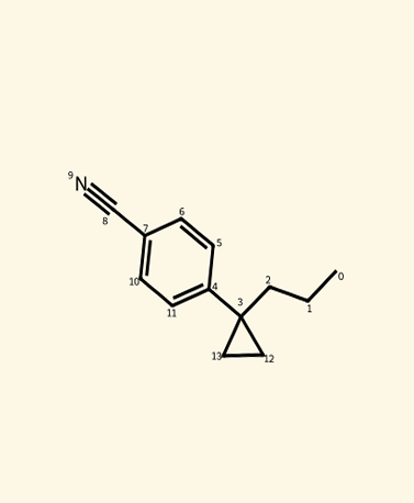 CCCC1(c2ccc(C#N)cc2)CC1